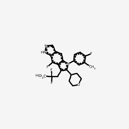 Cc1cc(-n2c(C3CCOCC3)c(CC(F)(F)C(=O)O)c3c(F)c4[nH]ncc4cc32)ccc1F